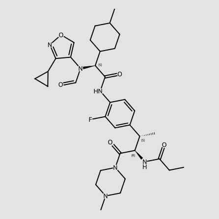 CCC(=O)N[C@@H](C(=O)N1CCN(C)CC1)[C@@H](C)c1ccc(NC(=O)[C@H](C2CCC(C)CC2)N(C=O)c2conc2C2CC2)c(F)c1